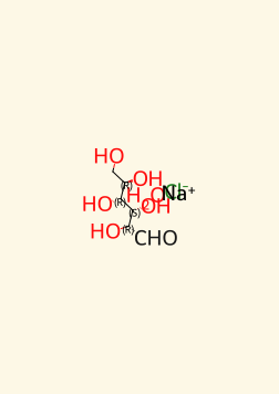 O.O=C[C@H](O)[C@@H](O)[C@H](O)[C@H](O)CO.[Cl-].[Na+]